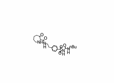 CCCCNC(=O)NS(=O)(=O)c1ccc(CCNC(=O)C2NCCCCC2=O)cc1